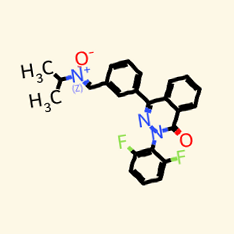 CC(C)/[N+]([O-])=C/c1cccc(-c2nn(-c3c(F)cccc3F)c(=O)c3ccccc23)c1